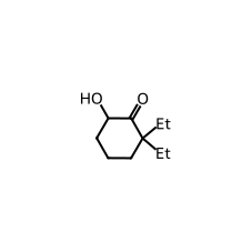 CCC1(CC)CCCC(O)C1=O